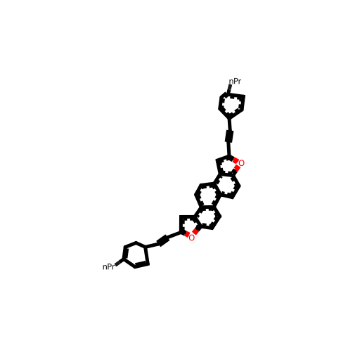 CCCC1=CCC(C#Cc2cc3c(ccc4c3ccc3c5cc(C#Cc6ccc(CCC)cc6)oc5ccc34)o2)C=C1